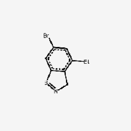 CCc1cc(Br)cc2c1CN=B2